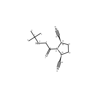 CC(C)(C)NCC(=O)N1[C@H](C#N)CC[C@@H]1C#N